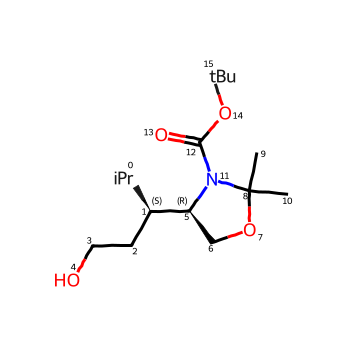 CC(C)[C@H](CCO)[C@@H]1COC(C)(C)N1C(=O)OC(C)(C)C